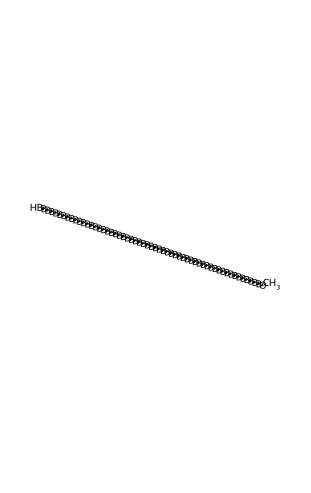 B=BB=BB=BB=BB=BB=BB=BB=BB=BB=BB=BB=BB=BB=BB=BB=BB=BB=BB=BB=BB=BB=BB=BB=BB=BB=BB=BB=BOC